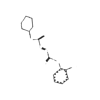 Cc1ccccc1OC(=O)N=NC(=O)OC1CCCCC1